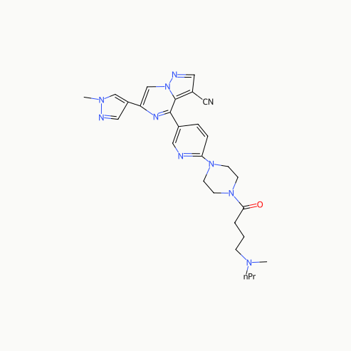 CCCN(C)CCCC(=O)N1CCN(c2ccc(-c3nc(-c4cnn(C)c4)cn4ncc(C#N)c34)cn2)CC1